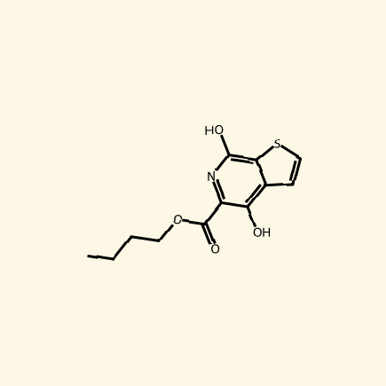 CCCCOC(=O)c1nc(O)c2sccc2c1O